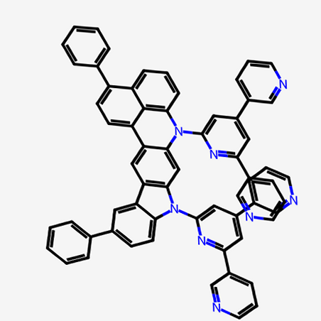 c1ccc(-c2ccc3c(c2)c2cc4c(cc2n3-c2cc(-c3cccnc3)cc(-c3cccnc3)n2)N(c2cc(-c3cccnc3)cc(-c3cccnc3)n2)c2cccc3c(-c5ccccc5)ccc-4c23)cc1